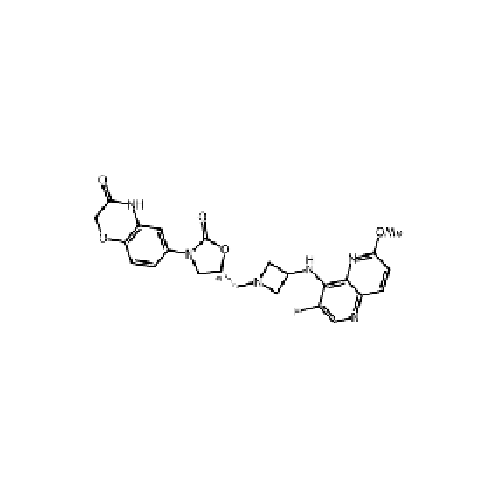 COc1ccc2ncc(F)c(NC3CN(C[C@@H]4CN(c5ccc6c(c5)NC(=O)CO6)C(=O)O4)C3)c2n1